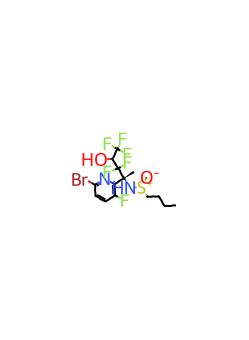 CCCC[S+]([O-])N[C@](C)(c1nc(Br)ccc1F)C(F)(F)[C@@H](O)C(F)(F)F